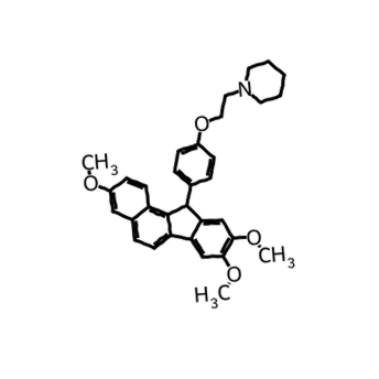 COc1ccc2c3c(ccc2c1)-c1cc(OC)c(OC)cc1C3c1ccc(OCCN2CCCCC2)cc1